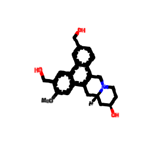 COc1cc2c3c(c4ccc(CO)cc4c2cc1CO)CN1CC[C@@H](O)C[C@@H]1C3